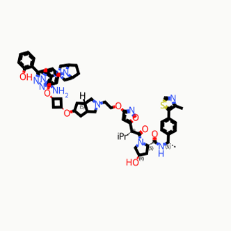 Cc1ncsc1-c1ccc([C@H](C)NC(=O)[C@@H]2C[C@@H](O)CN2C(=O)[C@@H](c2cc(OCCN3CC4CC(O[C@H]5C[C@H](Oc6cc(N7C8CCC7CN(c7cc(-c9ccccc9O)nnc7N)C8)ccn6)C5)C[C@@H]4C3)no2)C(C)C)cc1